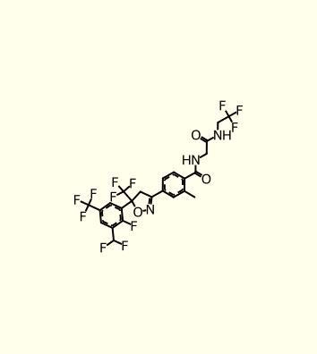 Cc1cc(C2=NOC(c3cc(C(F)(F)F)cc(C(F)F)c3F)(C(F)(F)F)C2)ccc1C(=O)NCC(=O)NCC(F)(F)F